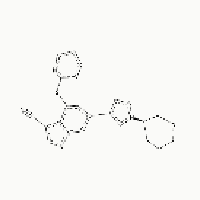 N#Cc1cnn2cc(-c3cnn([C@@H]4CCCNC4)c3)cc(Sc3ccccn3)c12